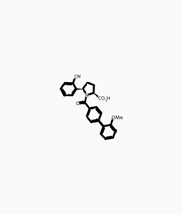 COc1ccccc1-c1ccc(C(=O)N2[C@@H](c3ccccc3C#N)CC[C@H]2C(=O)O)cc1